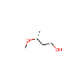 CO[C@H](C)CCO